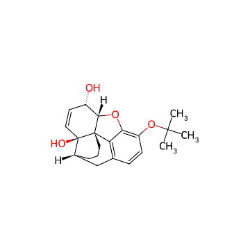 CC(C)(C)Oc1ccc2c3c1O[C@H]1[C@@H](O)C=C[C@@]4(O)[C@H](CCC[C@]314)C2